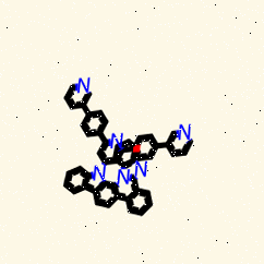 c1cncc(-c2ccc(-c3cc(-n4c5ccccc5c5ccc6c7ccccc7c7nc8ccccc8n7c6c54)cc(-c4ccc(-c5cccnc5)cc4)n3)cc2)c1